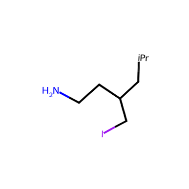 CC(C)CC(CI)CCN